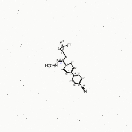 C=N/N=C(/CC1CC1(F)F)N1C=CC(c2ccc(C#N)cc2)=CC1